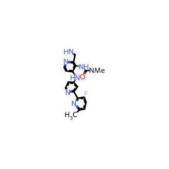 CNC(=O)Nc1c(Nc2ccnc(-c3nc(C)ccc3F)c2)ccnc1C=N